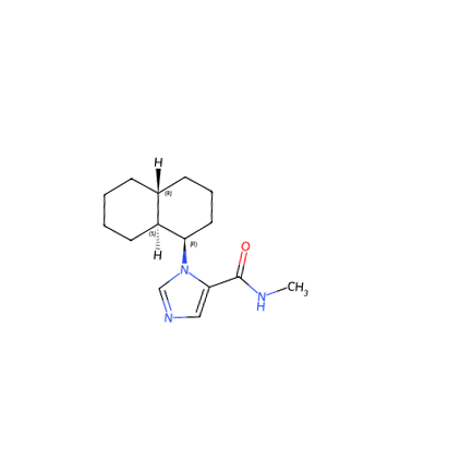 CNC(=O)c1cncn1[C@@H]1CCC[C@H]2CCCC[C@@H]21